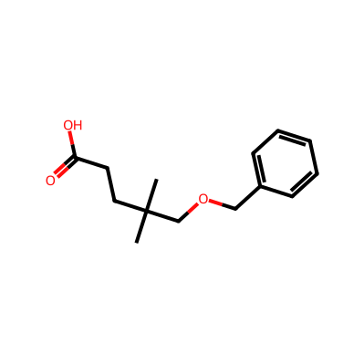 CC(C)(CCC(=O)O)COCc1ccccc1